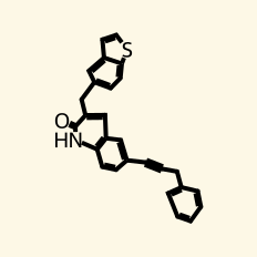 O=c1[nH]c2ccc(C#CCc3ccccc3)cc2cc1Cc1ccc2sccc2c1